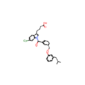 CC(C)Cc1cccc(OCc2cccc(C(=O)n3cc(CCCC(=O)O)c4ccc(Cl)cc43)c2)c1